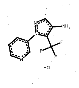 Cl.Nc1cnn(-c2cccnc2)c1C(F)(F)F